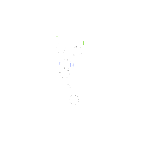 Fc1ccc(-c2nc3ccc(C#Cc4ccccc4)cc3nc2-c2ccc(F)cc2)cc1